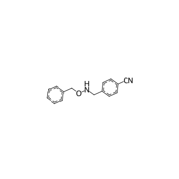 N#Cc1ccc(CNOCc2ccccc2)cc1